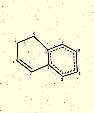 [c]1ccc2c(c1)CCC=C2